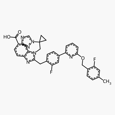 Cc1ccc(COc2cccc(-c3ccc(Cc4nc5ccc(C(=O)O)cc5n4CC4(n5cncn5)CC4)c(F)c3)n2)c(F)c1